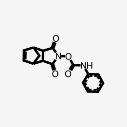 O=C(Nc1ccccc1)ON1C(=O)C2C3C=CC(C3)C2C1=O